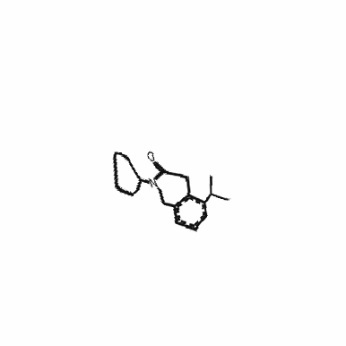 CC(C)c1cccc2c1CC(=O)N(C1CCCC1)C2